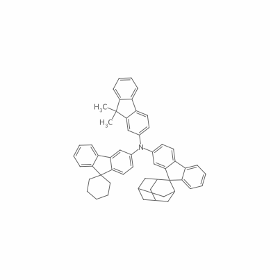 CC1(C)c2ccccc2-c2ccc(N(c3ccc4c(c3)-c3ccccc3C43CCCCC3)c3ccc4c(c3)C3(c5ccccc5-4)C4CC5CC(C4)CC3C5)cc21